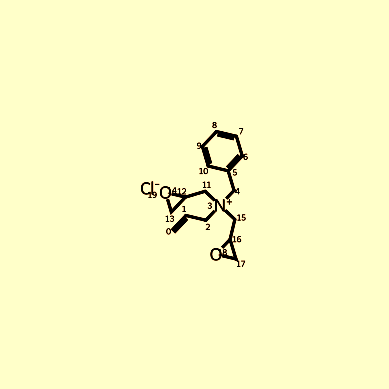 C=CC[N+](Cc1ccccc1)(CC1CO1)CC1CO1.[Cl-]